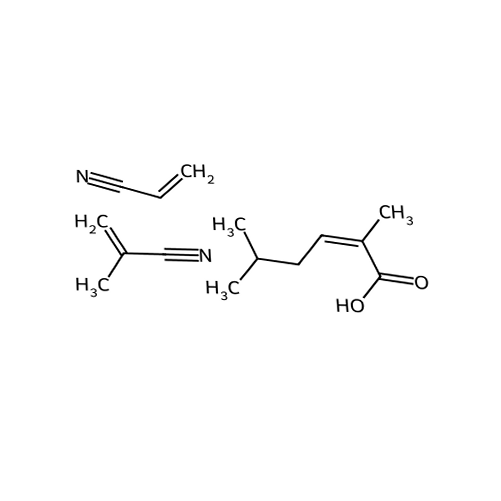 C=C(C)C#N.C=CC#N.CC(=CCC(C)C)C(=O)O